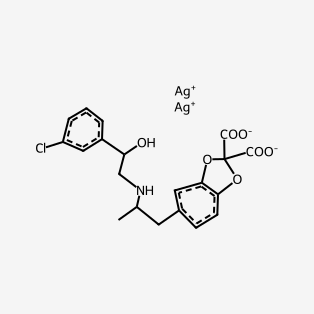 CC(Cc1ccc2c(c1)OC(C(=O)[O-])(C(=O)[O-])O2)NCC(O)c1cccc(Cl)c1.[Ag+].[Ag+]